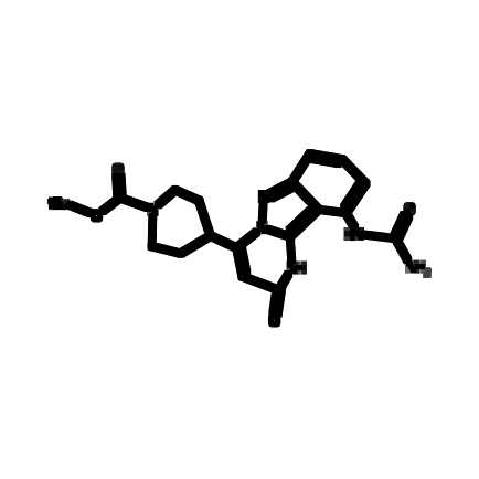 CC(C)(C)OC(=O)N1CCC(c2cc(=O)[nH]c3c4c(NC(N)=O)cccc4nn23)CC1